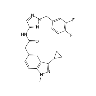 Cn1nc(C2CC2)c2cc(CC(=O)Nc3cnn(Cc4ccc(F)c(F)c4)n3)ccc21